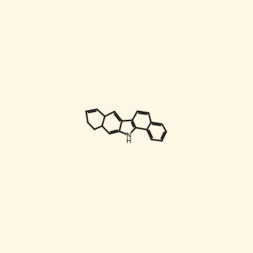 C1=CC2C=c3c([nH]c4c3ccc3ccccc34)=CC2CC1